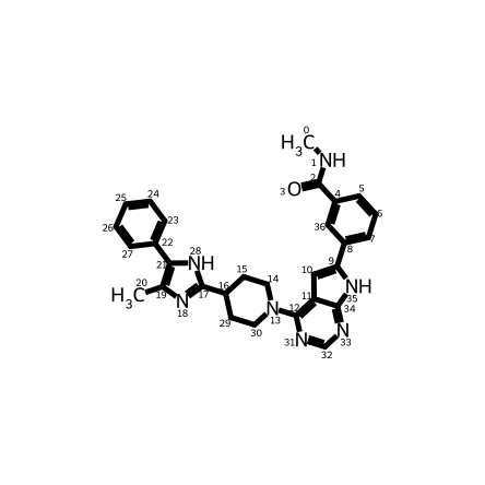 CNC(=O)c1cccc(-c2cc3c(N4CCC(c5nc(C)c(-c6ccccc6)[nH]5)CC4)ncnc3[nH]2)c1